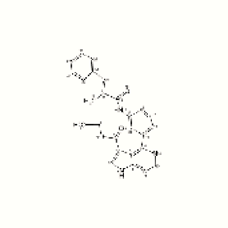 CCOC(=O)c1c[nH]c2ncnc(-c3cccc(NC(=O)/C(C)=C/c4ccccc4)c3)c12